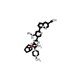 C#Cc1cnn2c(-c3cc(NC(C)C)c(-c4nnc(N5CC6CCC(C5)C6NC(=C)N5CCN(C)CC5)s4)cn3)ccc2c1